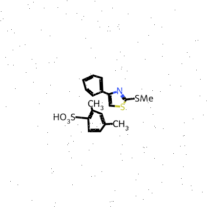 CSc1nc(-c2ccccc2)cs1.Cc1ccc(S(=O)(=O)O)c(C)c1